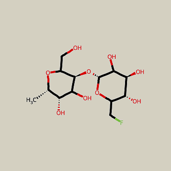 C[C@@H]1OC(CO)[C@@H](O[C@H]2OC(CF)[C@@H](O)[C@H](O)C2O)C(O)[C@@H]1O